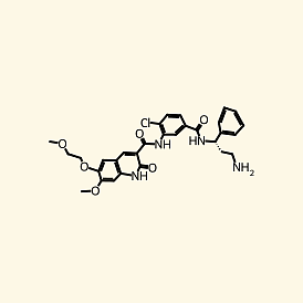 COCCOc1cc2cc(C(=O)Nc3cc(C(=O)N[C@@H](CCN)c4ccccc4)ccc3Cl)c(=O)[nH]c2cc1OC